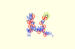 CC[C@H](C)[C@@H]([C@@H](CC(=O)N1CCC[C@H]1[C@H](OC)[C@@H](C)C(=O)N[C@@H](Cc1nc[nH]n1)C(=O)NCc1ccc(NC(=O)[C@H](CCCNC(N)=O)NC(=O)C(NC(=O)CCC(=O)N2CCC(C(=O)Oc3c(F)c(F)c(F)c(F)c3F)CC2C)C(C)C)cc1)OC)N(C)C(=O)[C@@H](NC(=O)[C@H](C(C)C)N(C)C)C(C)C